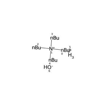 CCCC[N+](CCCC)(CCCC)CCCC.P.[OH-]